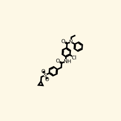 CCN(C(=O)c1ccc(NC(=O)Cc2ccc(S(=O)(=O)CC3CC3)cc2)c(Cl)c1)c1ccccc1